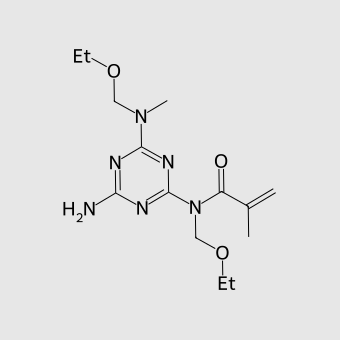 C=C(C)C(=O)N(COCC)c1nc(N)nc(N(C)COCC)n1